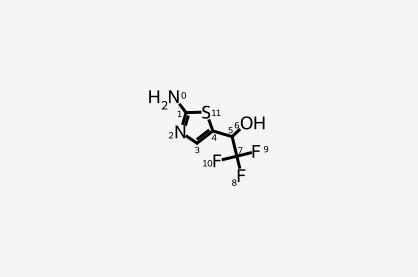 Nc1ncc(C(O)C(F)(F)F)s1